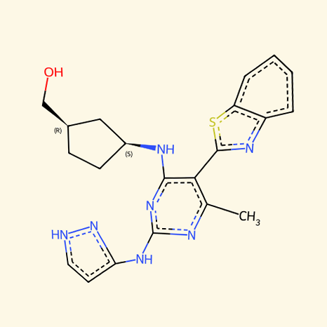 Cc1nc(Nc2cc[nH]n2)nc(N[C@H]2CC[C@@H](CO)C2)c1-c1nc2ccccc2s1